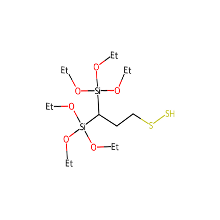 CCO[Si](OCC)(OCC)C(CCSS)[Si](OCC)(OCC)OCC